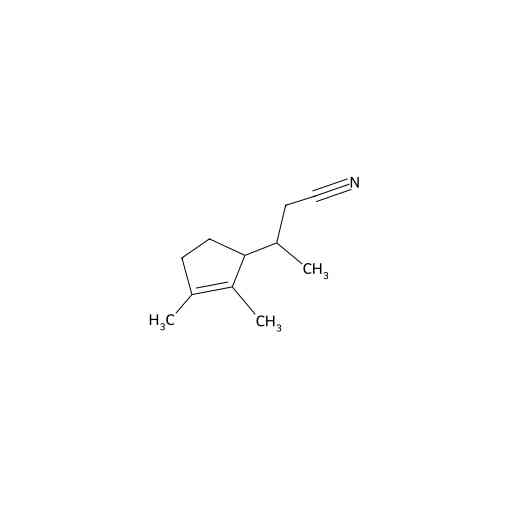 CC1=C(C)C(C(C)CC#N)CC1